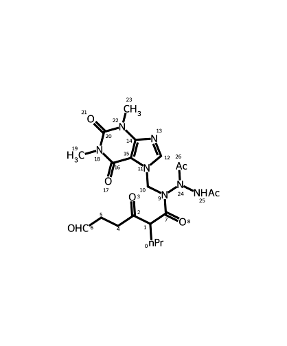 CCCC(C(=O)CCC=O)C(=O)N(Cn1cnc2c1c(=O)n(C)c(=O)n2C)N(NC(C)=O)C(C)=O